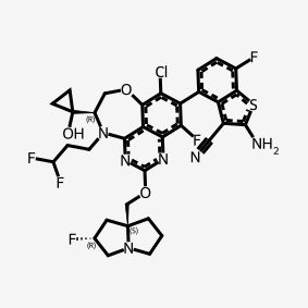 N#Cc1c(N)sc2c(F)ccc(-c3c(Cl)c4c5c(nc(OC[C@@]67CCCN6C[C@H](F)C7)nc5c3F)N(CCC(F)F)[C@@H](C3(O)CC3)CO4)c12